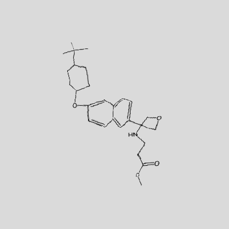 COC(=O)CCNC1(c2ccc3cc(OC4CCC(C(C)(C)C)CC4)ccc3c2)COC1